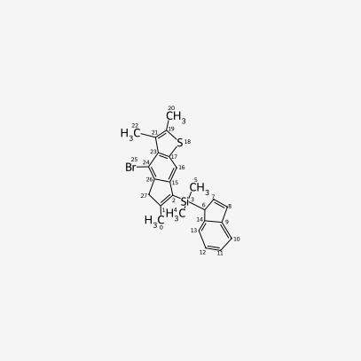 CC1=C([Si](C)(C)C2C=Cc3ccccc32)c2cc3sc(C)c(C)c3c(Br)c2C1